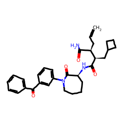 C=CC[C@H](C(N)=O)[C@@H](CC1CCC1)C(=O)N[C@H]1CCCCN(c2cccc(C(=O)c3ccccc3)c2)C1=O